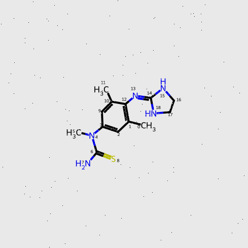 Cc1cc(N(C)C(N)=S)cc(C)c1N=C1NCCN1